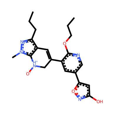 CCCOc1ncc(-c2cc(O)no2)cc1C1=Cc2c(CCC)nn(C)c2[NH+]([O-])C1